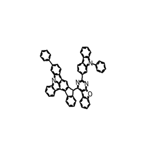 c1ccc(-c2ccc3c4cc5c(c6c7ccccc7n(c3c2)c46)-c2ccccc2C5c2nc(-c3ccc4c5ccccc5n(-c5ccccc5)c4c3)nc3oc4ccccc4c23)cc1